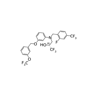 O[C@H](CN(Cc1ccc(C(F)(F)F)cc1F)c1cccc(OCc2cccc(OC(F)(F)F)c2)c1)C(F)(F)F